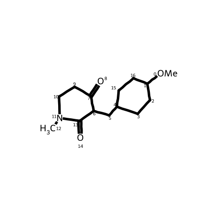 COC1CCC(CC2C(=O)CCN(C)C2=O)CC1